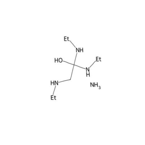 CCNCC(O)(NCC)NCC.N